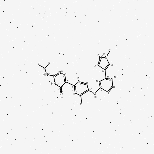 Cc1cc(-c2cnc(NC(C)C)[nH]c2=O)ncc1Oc1ccnc(-c2cnn(C)c2)c1